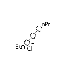 CCCC1CC=C(c2ccc(-c3ccc(OCC)c(Cl)c3F)cc2)CC1